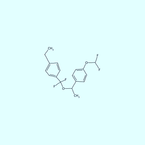 CCc1ccc(C(F)(F)OC(C)c2ccc(OC(F)F)cc2)cc1